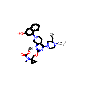 CN(C(=O)OC(C)(C)C)C1(COc2nc3c(c(N4CCN(C(=O)O)C(CC#N)C4)n2)CCN(c2cc(O)cc4ccccc24)C3)CC1